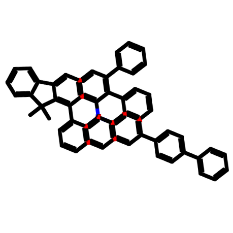 CC1(C)c2ccccc2-c2cccc(-c3ccccc3N(c3ccc(-c4ccc(-c5ccccc5)cc4)cc3)c3cccc(-c4ccccc4)c3-c3ccccc3-c3ccccc3)c21